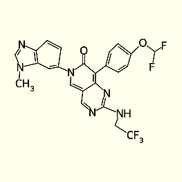 Cn1cnc2ccc(-n3cc4cnc(NCC(F)(F)F)nc4c(-c4ccc(OC(F)F)cc4)c3=O)cc21